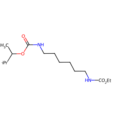 [CH2]COC(=O)NCCCCCCNC(=O)OC(C)[C](C)C